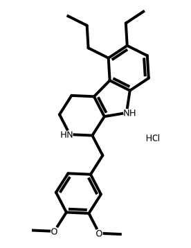 CCCc1c(CC)ccc2[nH]c3c(c12)CCNC3Cc1ccc(OC)c(OC)c1.Cl